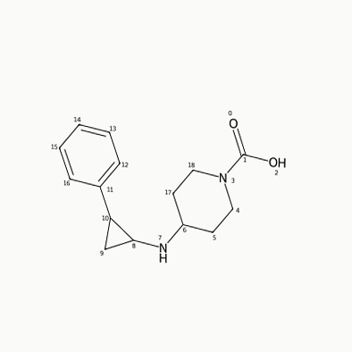 O=C(O)N1CCC(NC2CC2c2ccccc2)CC1